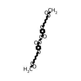 C=CC(=O)OCCCCCCOc1ccc(C(=O)OCCOC(=O)c2ccc(OCCCCCCOC(=O)C=C)cc2)cc1